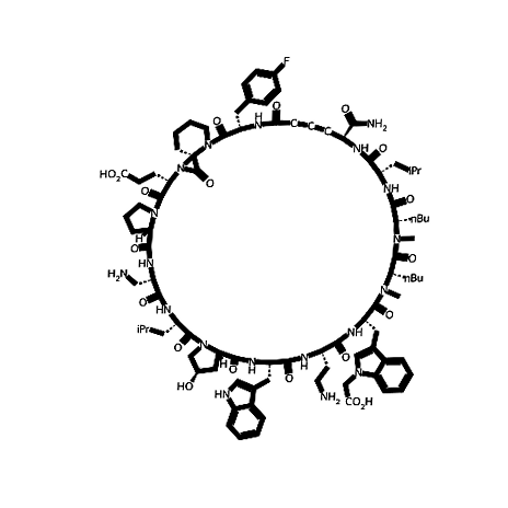 CCCC[C@H]1C(=O)N(C)[C@@H](CCCC)C(=O)N[C@@H](CC(C)C)C(=O)N[C@H](C(N)=O)CCCC(=O)N[C@@H](Cc2ccc(F)cc2)C(=O)N2CCCC[C@@]23C(=O)N3[C@@H](CCC(=O)O)C(=O)N2CCC[C@H]2C(=O)N[C@@H](CN)C(=O)N[C@@H](CC(C)C)C(=O)N2C[C@H](O)C[C@H]2C(=O)N[C@@H](Cc2c[nH]c3ccccc23)C(=O)N[C@@H](CCN)C(=O)N[C@@H](Cc2cn(CC(=O)O)c3ccccc23)C(=O)N1C